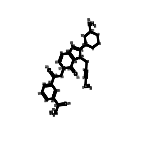 CC#CCn1c(N2CCCC(N)C2)nc2ccn(CC(=O)c3cccc(C(N)=O)c3)c(=O)c21